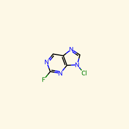 Fc1ncc2ncn(Cl)c2n1